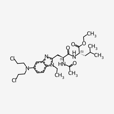 CCOC(=O)[C@H](CC(C)C)NC(=O)[C@H](Cc1nc2cc(N(CCCl)CCCl)ccc2n1CC)NC(C)=O